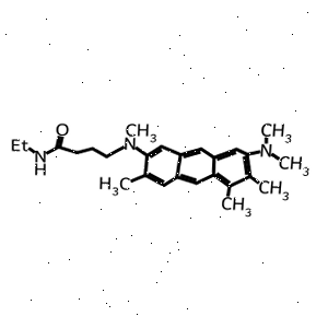 CCNC(=O)CCCN(C)c1cc2cc3cc(N(C)C)c(C)c(C)c3cc2cc1C